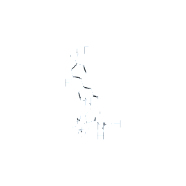 C[C@@](CCn1ccc(-c2ccc(OC(F)(F)F)cc2F)cc1=O)(C(=O)NO)S(C)(=O)=O